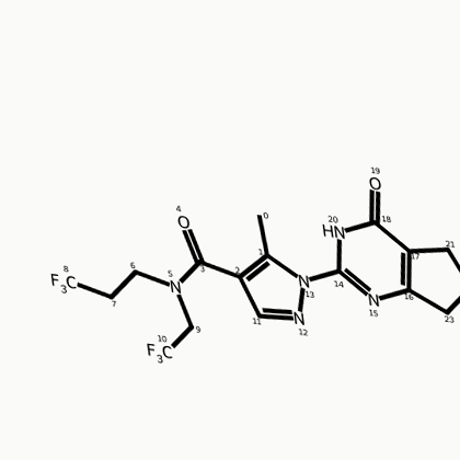 Cc1c(C(=O)N(CCC(F)(F)F)CC(F)(F)F)cnn1-c1nc2c(c(=O)[nH]1)CCC2